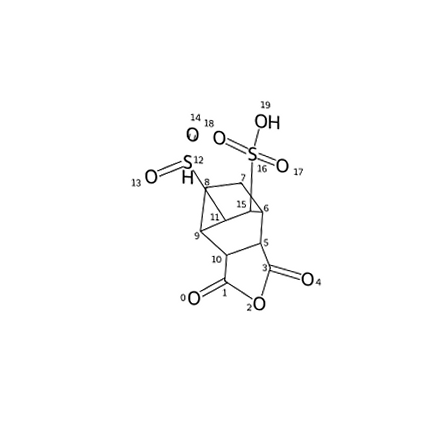 O=C1OC(=O)C2C3CCC(C12)C([SH](=O)=O)C3S(=O)(=O)O